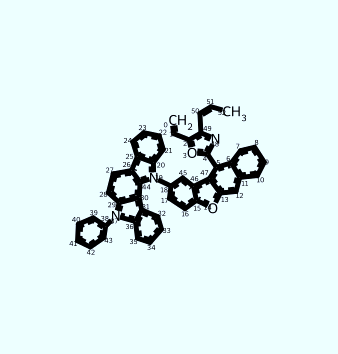 C=Cc1oc(-c2c3ccccc3cc3oc4ccc(-n5c6ccccc6c6ccc7c(c8ccccc8n7-c7ccccc7)c65)cc4c23)nc1/C=C\C